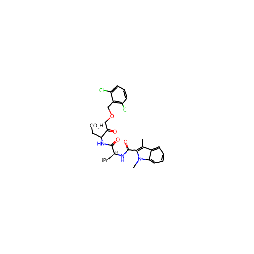 Cc1c(C(=O)N[C@H](C(=O)NC(CC(=O)O)C(=O)COCc2c(Cl)cccc2Cl)C(C)C)n(C)c2ccccc12